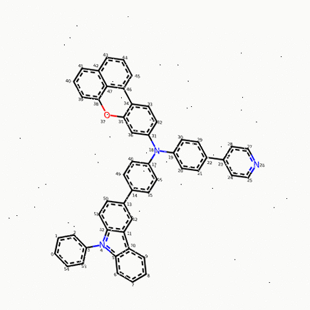 c1ccc(-n2c3ccccc3c3cc(-c4ccc(N(c5ccc(-c6ccncc6)cc5)c5ccc6c(c5)Oc5cccc7cccc-6c57)cc4)ccc32)cc1